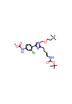 COC(=O)Nc1ccc(-c2cn(COCC[Si](C)(C)C)c(CCC=CNC(=O)OC(C)(C)C)n2)c(Br)c1